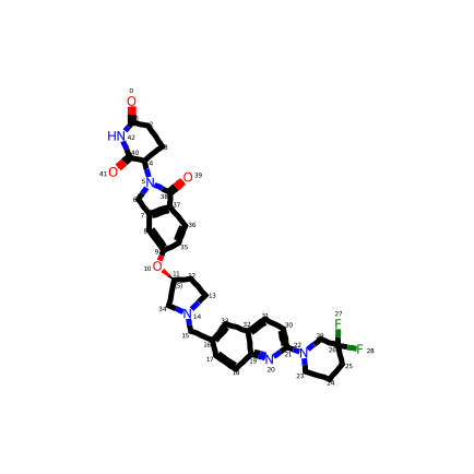 O=C1CCC(N2Cc3cc(O[C@H]4CCN(Cc5ccc6nc(N7CCCC(F)(F)C7)ccc6c5)C4)ccc3C2=O)C(=O)N1